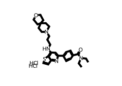 CCN(CC)C(=O)c1ccc(-c2cc(NCCCN3CCC4(CCOCC4)CC3)c3sccc3n2)cc1.Cl.Cl